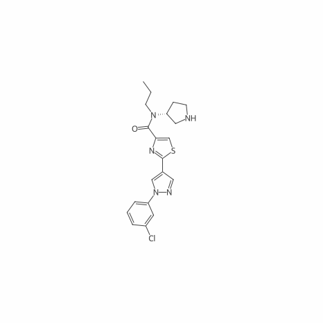 CCCN(C(=O)c1csc(-c2cnn(-c3cccc(Cl)c3)c2)n1)[C@@H]1CCNC1